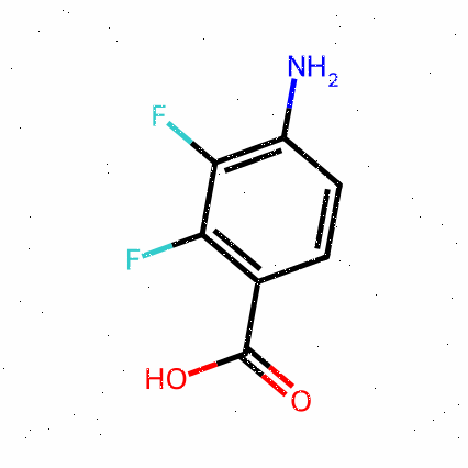 Nc1ccc(C(=O)O)c(F)c1F